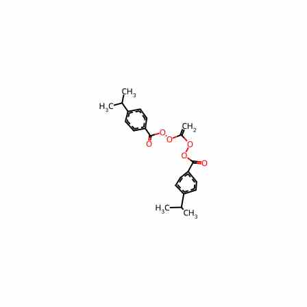 C=C(OOC(=O)c1ccc(C(C)C)cc1)OOC(=O)c1ccc(C(C)C)cc1